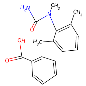 Cc1cccc(C)c1N(C)C(N)=O.O=C(O)c1ccccc1